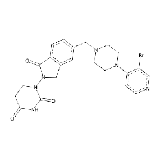 O=C1CCN(N2Cc3cc(CN4CCN(c5ccncc5Br)CC4)ccc3C2=O)C(=O)N1